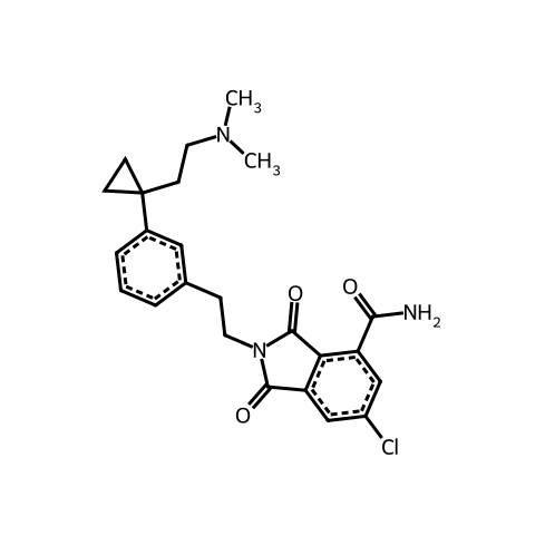 CN(C)CCC1(c2cccc(CCN3C(=O)c4cc(Cl)cc(C(N)=O)c4C3=O)c2)CC1